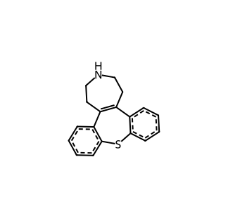 c1ccc2c(c1)Sc1ccccc1C1=C2CCNCC1